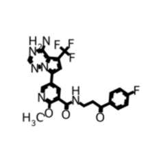 COc1ncc(-c2cc(C(F)(F)F)c3c(N)ncnn23)cc1C(=O)NCCC(=O)c1ccc(F)cc1